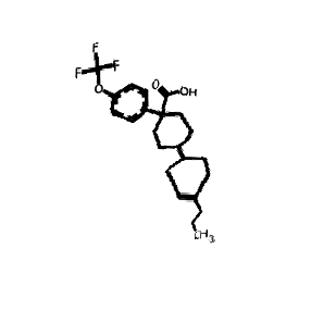 CCCC1CCC(C2CCC(C(=O)O)(c3ccc(OC(F)(F)F)cc3)CC2)CC1